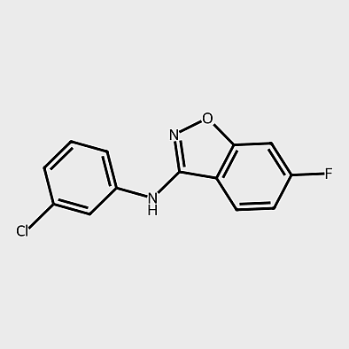 Fc1ccc2c(Nc3cccc(Cl)c3)noc2c1